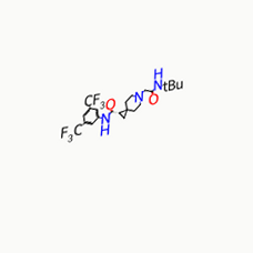 CC(C)(C)NC(=O)CN1CCC2(CC1)C[C@@H]2C(=O)Nc1cc(C(F)(F)F)cc(C(F)(F)F)c1